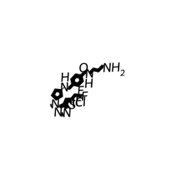 CN(c1ncnc2sc(CC(F)(F)F)cc12)[C@@H]1CC[C@H](NCc2ccc(C(=O)NCCCN)cc2)C1.Cl